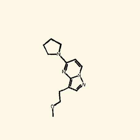 COCCc1cnn2ccc(N3CCCC3)nc12